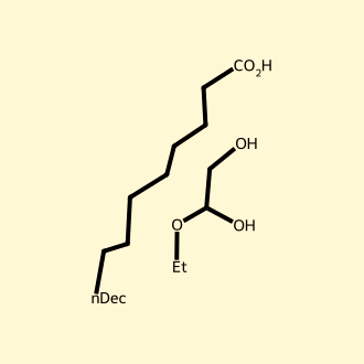 CCCCCCCCCCCCCCCCCC(=O)O.CCOC(O)CO